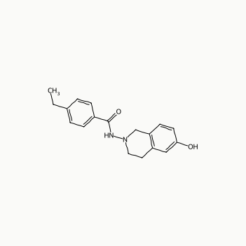 CCc1ccc(C(=O)NN2CCc3cc(O)ccc3C2)cc1